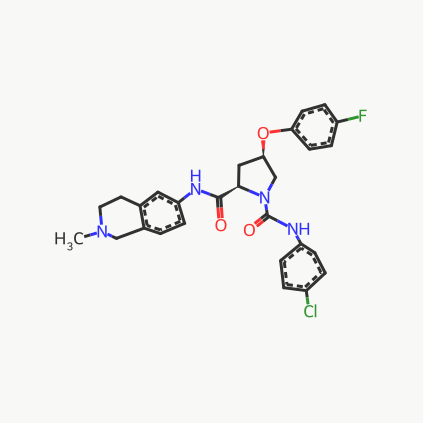 CN1CCc2cc(NC(=O)[C@H]3C[C@@H](Oc4ccc(F)cc4)CN3C(=O)Nc3ccc(Cl)cc3)ccc2C1